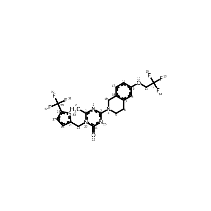 Cc1nc(N2CCc3cc(OCC(F)(F)F)ccc3C2)nc(=O)n1Cc1ccc(C(F)(F)F)s1